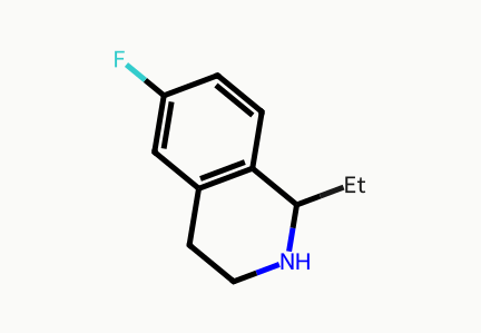 CCC1NCCc2cc(F)ccc21